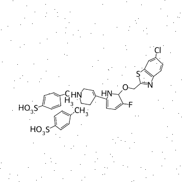 Cc1ccc(S(=O)(=O)O)cc1.Cc1ccc(S(=O)(=O)O)cc1.FC1=CC=C(C2=CCNCC2)NC1OCc1nc2ccc(Cl)cc2s1